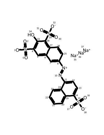 O=S(=O)([O-])c1cc2cc(N=Nc3ccc(S(=O)(=O)[O-])c4ccccc34)ccc2c(S(=O)(=O)[O-])c1O.[Na+].[Na+].[Na+]